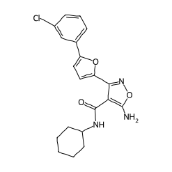 Nc1onc(-c2ccc(-c3cccc(Cl)c3)o2)c1C(=O)NC1CCCCC1